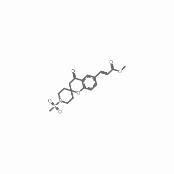 COC(=O)C=Cc1ccc2c(c1)C(=O)CC1(CCN(S(C)(=O)=O)CC1)O2